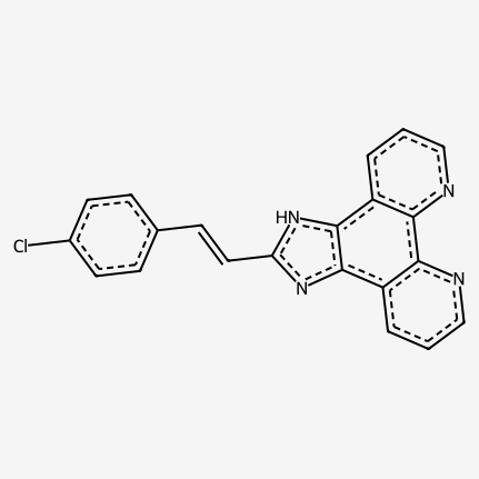 Clc1ccc(/C=C/c2nc3c4cccnc4c4ncccc4c3[nH]2)cc1